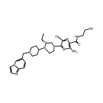 CC[C@H]1CN(c2nc(N)c(C(=O)NCCO)nc2Cl)CCN1C1CCN(Cc2ccc3nccn3c2)CC1